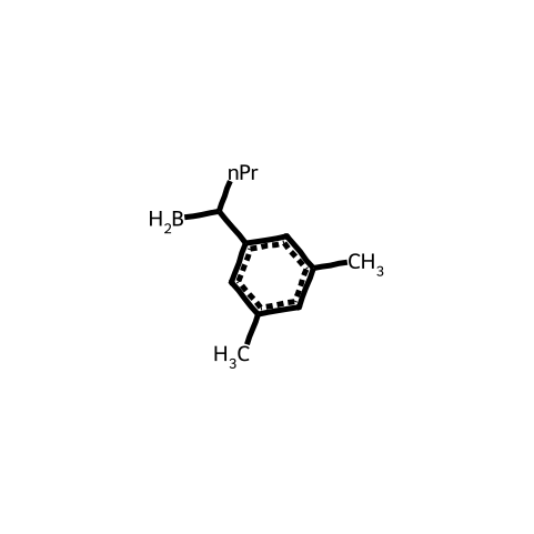 BC(CCC)c1cc(C)cc(C)c1